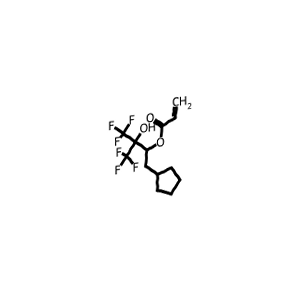 C=CC(=O)OC(CC1CCCC1)C(O)(C(F)(F)F)C(F)(F)F